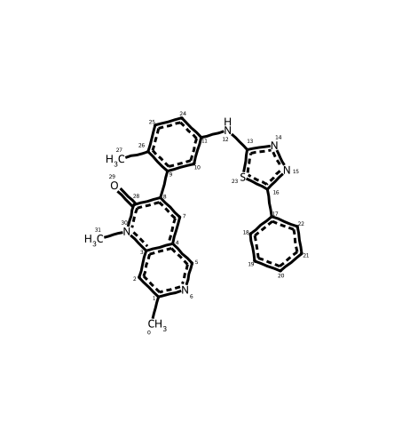 Cc1cc2c(cn1)cc(-c1cc(Nc3nnc(-c4ccccc4)s3)ccc1C)c(=O)n2C